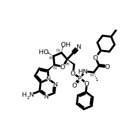 CC1CCC(OC(=O)[C@H](C)NP(=O)(OC[C@@]2(C#N)O[C@@H](c3ccc4c(N)ncnn34)[C@H](O)[C@@H]2O)Oc2ccccc2)CC1